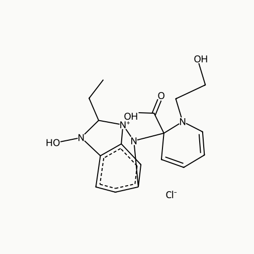 CCC1N(O)c2ccc3cc2[N+]1(O)N3C1(C(C)=O)C=CC=CN1CCO.[Cl-]